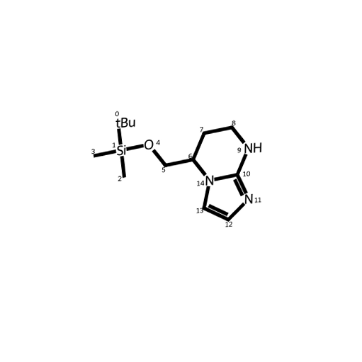 CC(C)(C)[Si](C)(C)OCC1CCNc2nccn21